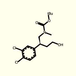 CN(C[C@@H](CCO)c1ccc(Cl)c(Cl)c1)C(=O)OC(C)(C)C